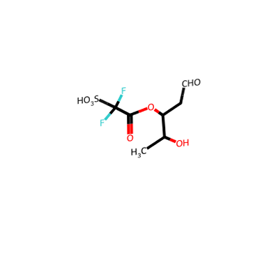 CC(O)C(CC=O)OC(=O)C(F)(F)S(=O)(=O)O